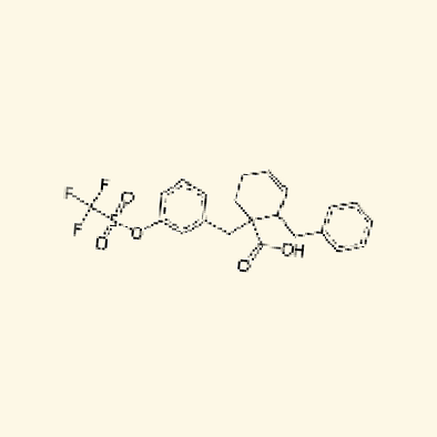 O=C(O)C1(Cc2cccc(OS(=O)(=O)C(F)(F)F)c2)CCC=CC1Cc1ccccc1